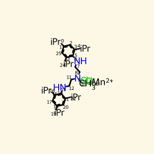 CC(C)c1cc(C(C)C)c(NCCN(C)CCNc2c(C(C)C)cc(C(C)C)cc2C(C)C)c(C(C)C)c1.[Cl-].[Cl-].[Mn+2]